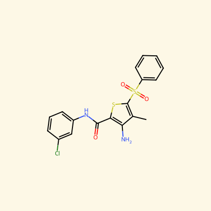 Cc1c(S(=O)(=O)c2ccccc2)sc(C(=O)Nc2cccc(Cl)c2)c1N